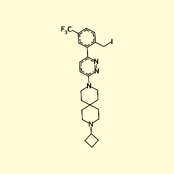 FC(F)(F)c1ccc(CI)c(-c2ccc(N3CCC4(CC3)CCN(C3CCC3)CC4)nn2)c1